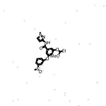 CCC(OC)Oc1cc(Oc2cccc([S+](C)[O-])c2)cc(C(=O)Nc2ccn(C)n2)c1